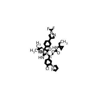 CCC1(NC(=O)OC[C@H](c2ccc(Cl)c(-n3cccn3)c2)N2C(=N)N[C@](CC(C)(C)C)(c3ccc(-c4cnn(C(F)F)c4)cc3)C2=O)CC1